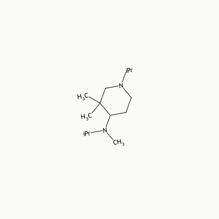 CC(C)N1CCC(N(C)C(C)C)C(C)(C)C1